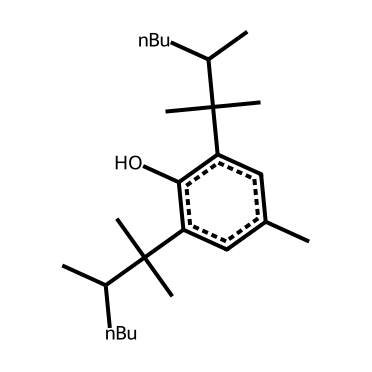 CCCCC(C)C(C)(C)c1cc(C)cc(C(C)(C)C(C)CCCC)c1O